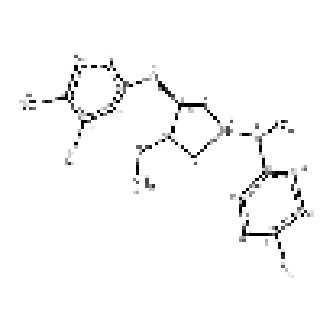 N#Cc1ccc(O[C@H]2CN([S+]([O-])c3ccc(Cl)cn3)CC2CN)cc1F